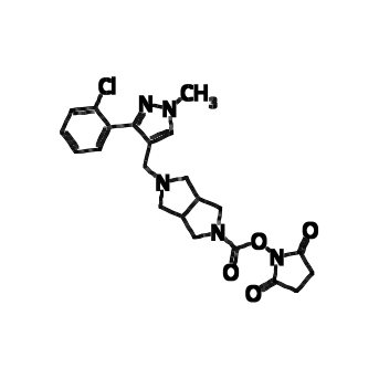 Cn1cc(CN2CC3CN(C(=O)ON4C(=O)CCC4=O)CC3C2)c(-c2ccccc2Cl)n1